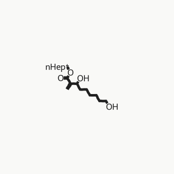 C=C(C(=O)OCCCCCCC)C(O)CCCCCCO